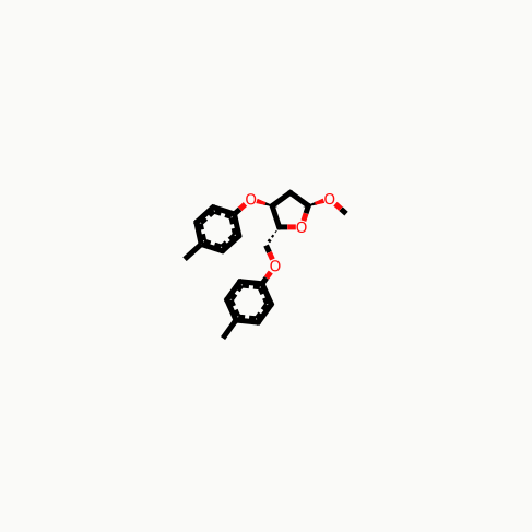 CO[C@@H]1C[C@H](Oc2ccc(C)cc2)[C@@H](COc2ccc(C)cc2)O1